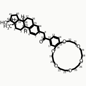 C[C@]12CC[C@@H]3c4ccc(CC(=O)c5ccc6c(c5)OCCOCCOCCOCCOCCO6)cc4CC[C@H]3[C@@H]1CC[C@@H]2O